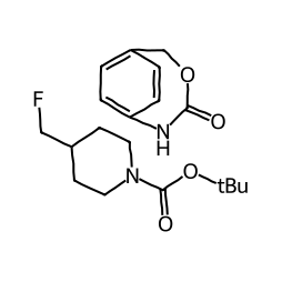 CC(C)(C)OC(=O)N1CCC(CF)CC1.O=C1Nc2ccc(cc2)CO1